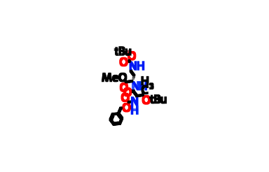 COC(=O)[C@H](CCNC(=O)OC(C)(C)C)NC(=O)[C@@H](NC(=O)OCc1ccccc1)C(C)OC(C)(C)C